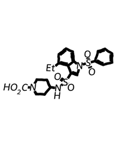 CCc1cccc2c1c(S(=O)(=O)NC1CCN(C(=O)O)CC1)cn2S(=O)(=O)c1ccccc1